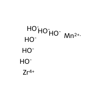 [Mn+2].[OH-].[OH-].[OH-].[OH-].[OH-].[OH-].[Zr+4]